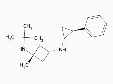 CC(C)(C)N[C@]1(C)C[C@H](N[C@@H]2C[C@H]2c2ccccc2)C1